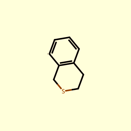 [c]1cccc2c1CSCC2